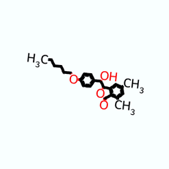 CCCCCCOc1ccc(C(O)C2OC(=O)c3c(C)cc(C)cc32)cc1